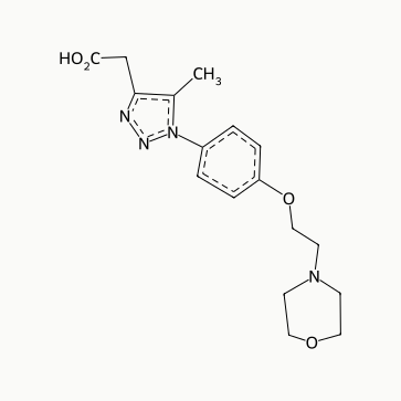 Cc1c(CC(=O)O)nnn1-c1ccc(OCCN2CCOCC2)cc1